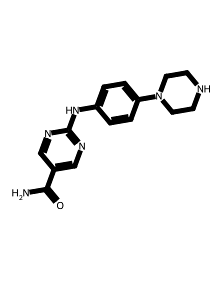 NC(=O)c1cnc(Nc2ccc(N3CCNCC3)cc2)nc1